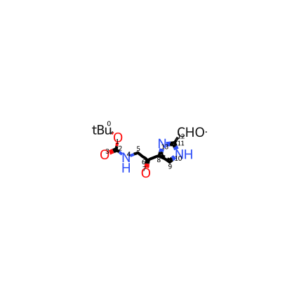 CC(C)(C)OC(=O)NCC(=O)c1c[nH]c([C]=O)n1